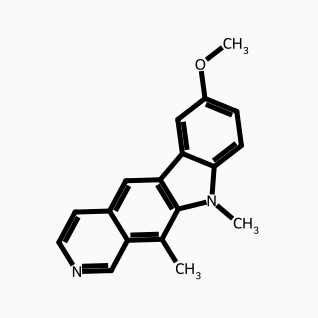 COc1ccc2c(c1)c1cc3ccncc3c(C)c1n2C